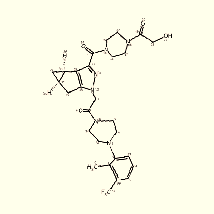 Cc1c(N2CCN(C(=O)Cn3nc(C(=O)N4CCN(C(=O)CO)CC4)c4c3C[C@H]3C[C@@H]43)CC2)cccc1C(F)(F)F